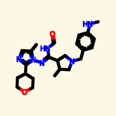 CNc1ccc(CN2CC(C)C(/C(=N/n3c(C)cnc3C3CCOCC3)NC=O)C2)cc1